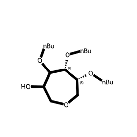 CCCCOC1C(O)COC[C@@H](OCCCC)[C@H]1OCCCC